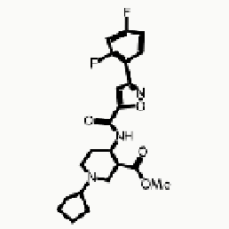 COC(=O)C1CN(C2CCCC2)CCC1NC(=O)c1cc(-c2ccc(F)cc2F)no1